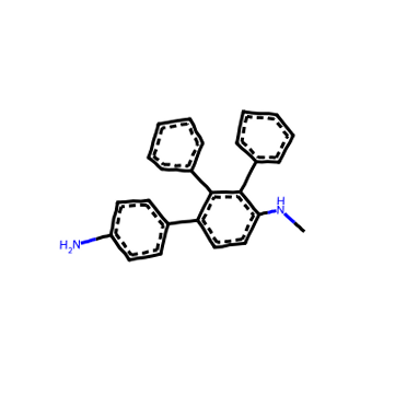 CNc1ccc(-c2ccc(N)cc2)c(-c2ccccc2)c1-c1ccccc1